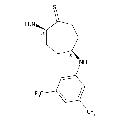 N[C@@H]1CC[C@H](Nc2cc(C(F)(F)F)cc(C(F)(F)F)c2)CCC1=S